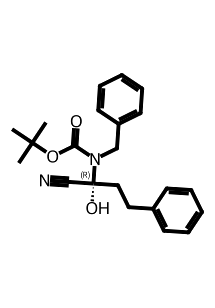 CC(C)(C)OC(=O)N(Cc1ccccc1)[C@](O)(C#N)CCc1ccccc1